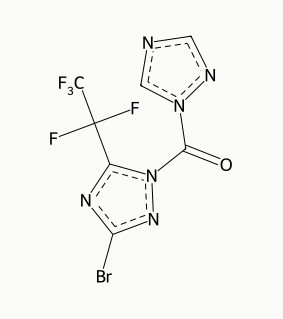 O=C(n1cncn1)n1nc(Br)nc1C(F)(F)C(F)(F)F